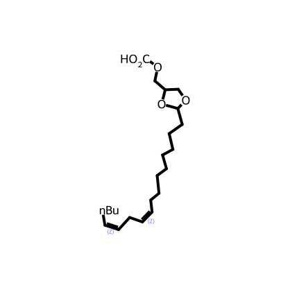 CCCC/C=C\C/C=C\CCCCCCCCC1OCC(COC(=O)O)O1